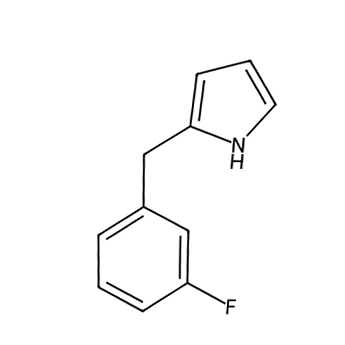 Fc1cccc(Cc2ccc[nH]2)c1